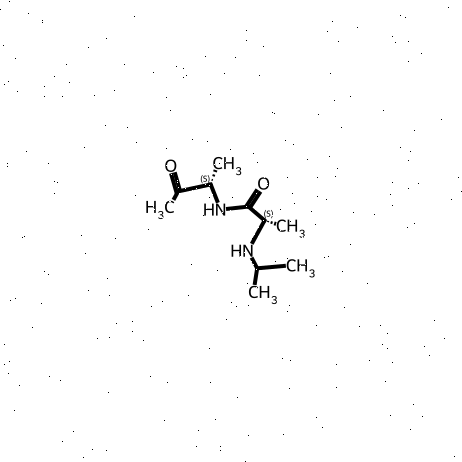 CC(=O)[C@H](C)NC(=O)[C@H](C)NC(C)C